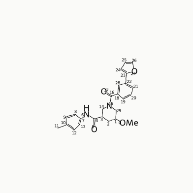 COC1CC(C(=O)Nc2ccc(C)cc2)CN(C(=O)c2cccc(-c3ccco3)c2)C1